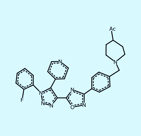 CC(=O)C1CCN(Cc2ccc(-c3noc(-c4nnn(-c5ccccc5F)c4-c4ccncc4)n3)cc2)CC1